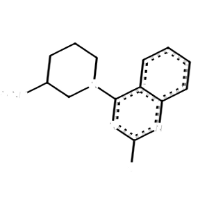 CC(=O)NC1CCCN(c2nc(Cl)nc3ccccc23)C1